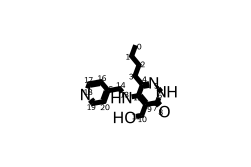 CCCCc1n[nH]c(=O)c(CO)c1NCc1ccncc1